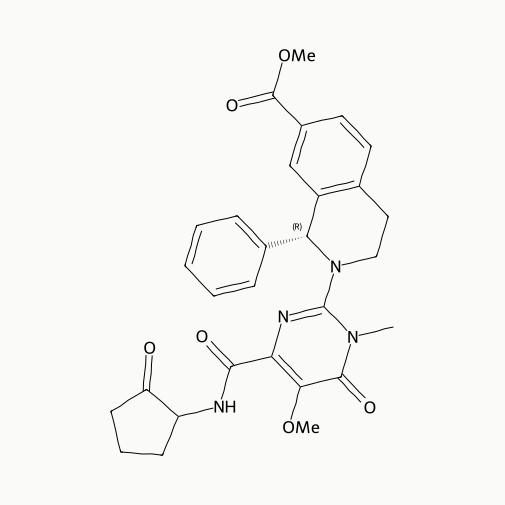 COC(=O)c1ccc2c(c1)[C@@H](c1ccccc1)N(c1nc(C(=O)NC3CCCC3=O)c(OC)c(=O)n1C)CC2